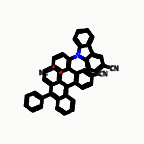 N#Cc1ccc(-c2c3ccccc3c(-c3ccccc3)c3ccccc23)c(-c2cc(C#N)ccc2-n2c3ccccc3c3cc(C#N)ccc32)c1